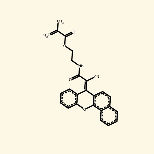 C=C(C)C(=O)OCCNC(=O)/C(C#N)=C1\c2ccccc2Oc2c1ccc1ccccc21